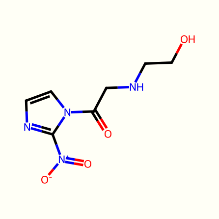 O=C(CNCCO)n1ccnc1[N+](=O)[O-]